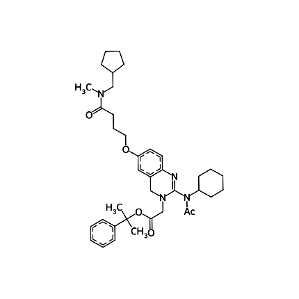 CC(=O)N(C1=Nc2ccc(OCCCC(=O)N(C)CC3CCCC3)cc2CN1CC(=O)OC(C)(C)c1ccccc1)C1CCCCC1